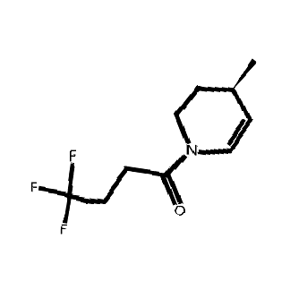 C[C@H]1C=CN(C(=O)CCC(F)(F)F)CC1